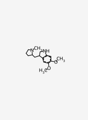 COc1cc2c(cc1OC)C(CC1CCCN1C)CN2